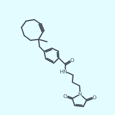 CC1(Cc2ccc(C(=O)NCCCN3C(=O)C=CC3=O)cc2)C#CCCCCC1